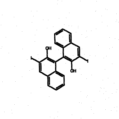 Oc1c(I)cc2ccccc2c1-c1c(O)c(I)cc2ccccc12